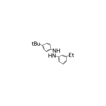 CCc1cccc(NNc2ccc(C(C)(C)C)cc2)c1